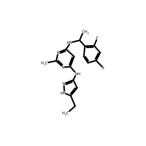 CCc1cc(Nc2cc(NC(C)c3ccc(F)cc3F)nc(C)n2)n[nH]1